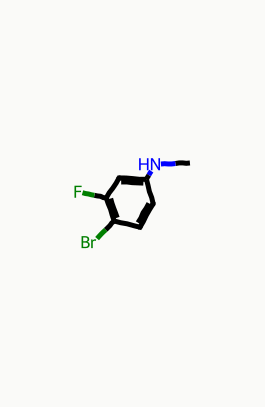 CNc1ccc(Br)c(F)c1